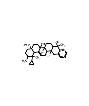 CC1CCC2(C(=O)O)CCC3(C)C(=CCC4C5(C)Cc6cncnc6C(C)(C)C5CCC43C)C2C1(C)C1CC1